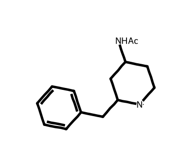 CC(=O)NC1CC[N]C(Cc2ccccc2)C1